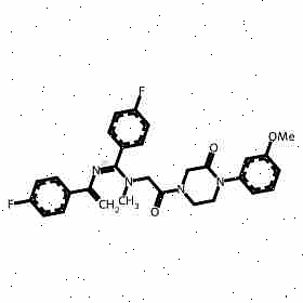 C=C(/N=C(/c1ccc(F)cc1)N(C)CC(=O)N1CCN(c2cccc(OC)c2)C(=O)C1)c1ccc(F)cc1